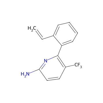 C=Cc1ccccc1-c1nc(N)ccc1C(F)(F)F